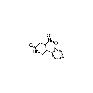 O=C1CC([N+](=O)[O-])C(c2ccccn2)CN1